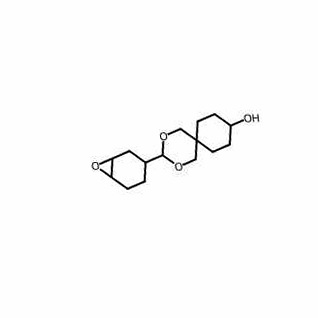 OC1CCC2(CC1)COC(C1CCC3OC3C1)OC2